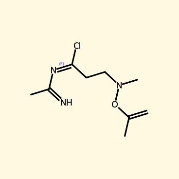 C=C(C)ON(C)CC/C(Cl)=N\C(C)=N